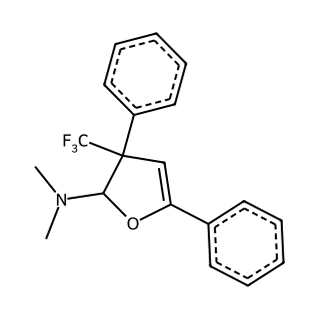 CN(C)C1OC(c2ccccc2)=CC1(c1ccccc1)C(F)(F)F